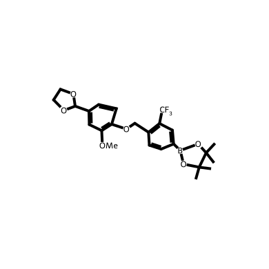 COc1cc(C2OCCO2)ccc1OCc1ccc(B2OC(C)(C)C(C)(C)O2)cc1C(F)(F)F